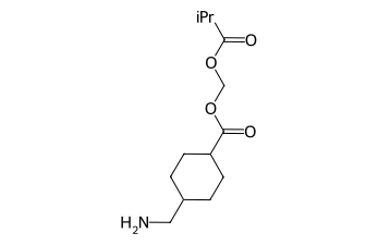 CC(C)C(=O)OCOC(=O)C1CCC(CN)CC1